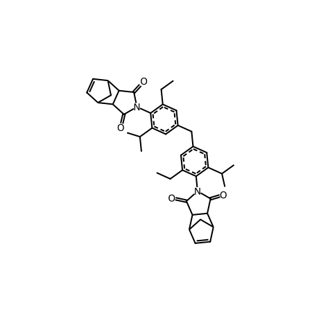 CCc1cc(Cc2cc(CC)c(N3C(=O)C4C5C=CC(C5)C4C3=O)c(C(C)C)c2)cc(C(C)C)c1N1C(=O)C2C3C=CC(C3)C2C1=O